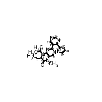 CCC1C(=O)N(C)c2cnc(-c3cncnc3-c3nccs3)nc2N1C(C)C